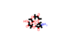 CC(OC(C)(C)C(=O)C(C)OC(C)(C)C(C)(N)C(=O)COC(C)(C)C(=O)CO)C(=O)O